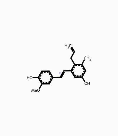 C=CCc1c(C)cc(O)cc1/C=C/c1ccc(O)c(OC)c1